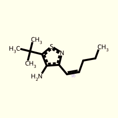 CCC/C=C\c1nsc(C(C)(C)C)c1N